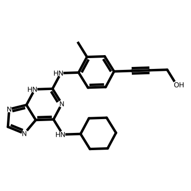 Cc1cc(C#CCO)ccc1Nc1nc(NC2CCCCC2)c2ncnc-2[nH]1